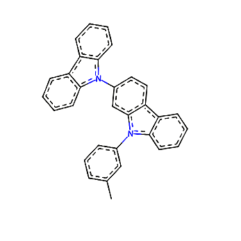 Cc1cccc(-n2c3ccccc3c3ccc(-n4c5ccccc5c5ccccc54)cc32)c1